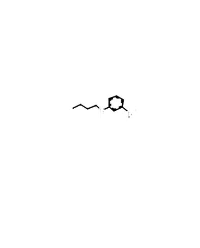 CCCCNc1cccc([N+](=O)[O-])c1